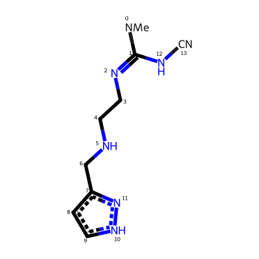 CN/C(=N/CCNCc1cc[nH]n1)NC#N